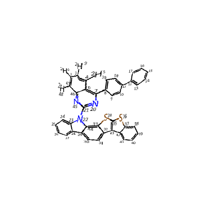 [2H]c1c([2H])c([2H])c2c(-c3ccc(-c4ccccc4)cc3)nc(-n3c4ccccc4c4ccc5c(sc6sc7ccccc7c65)c43)nc2c1[2H]